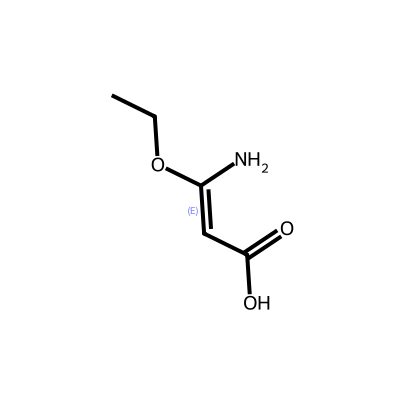 CCO/C(N)=C/C(=O)O